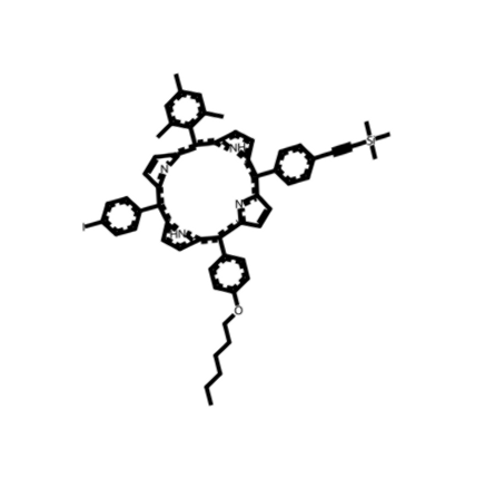 CCCCCCOc1ccc(-c2c3nc(c(-c4ccc(C#C[Si](C)(C)C)cc4)c4ccc([nH]4)c(-c4c(C)cc(C)cc4C)c4nc(c(-c5ccc(I)cc5)c5ccc2[nH]5)C=C4)C=C3)cc1